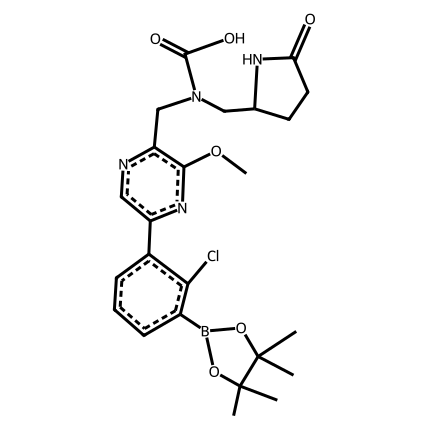 COc1nc(-c2cccc(B3OC(C)(C)C(C)(C)O3)c2Cl)cnc1CN(CC1CCC(=O)N1)C(=O)O